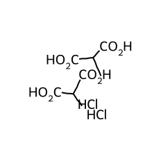 CC(C(=O)O)C(=O)O.CC(C(=O)O)C(=O)O.Cl.Cl